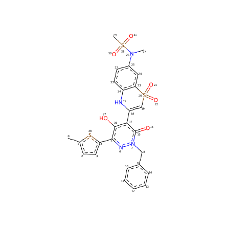 Cc1ccc(-c2nn(Cc3ccccc3)c(=O)c(C3=CS(=O)(=O)c4cc(N(C)S(C)(=O)=O)ccc4N3)c2O)s1